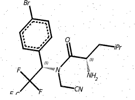 CC(C)C[C@H](N)C(=O)N(CC#N)[C@@H](c1ccc(Br)cc1)C(F)(F)C(F)(F)F